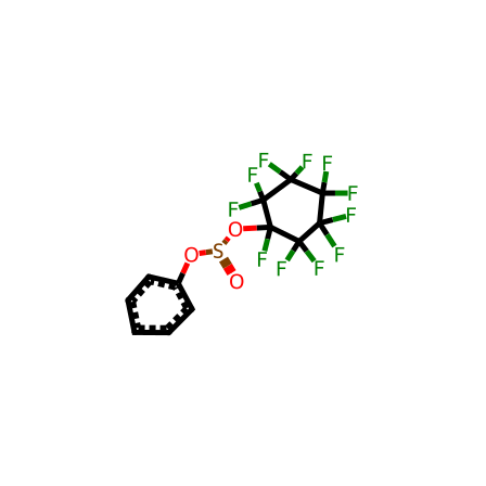 O=S(Oc1ccccc1)OC1(F)C(F)(F)C(F)(F)C(F)(F)C(F)(F)C1(F)F